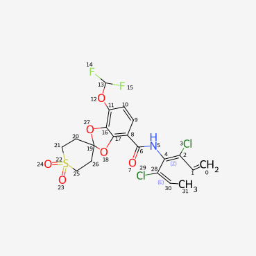 C=C/C(Cl)=C(NC(=O)c1ccc(OC(F)F)c2c1OC1(CCS(=O)(=O)CC1)O2)\C(Cl)=C/C